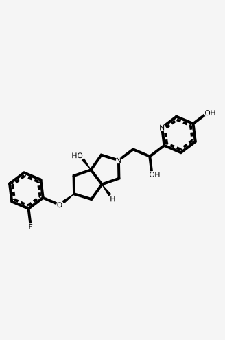 Oc1ccc(C(O)CN2C[C@@H]3C[C@@H](Oc4ccccc4F)C[C@]3(O)C2)nc1